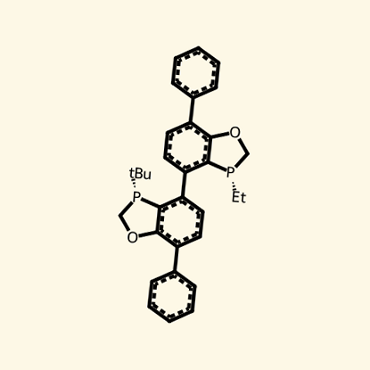 CC[P@@]1COc2c(-c3ccccc3)ccc(-c3ccc(-c4ccccc4)c4c3[P@@](C(C)(C)C)CO4)c21